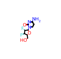 Nc1ccn(C2OC(CO)C(F)C2F)c(=O)n1